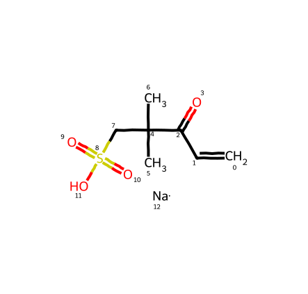 C=CC(=O)C(C)(C)CS(=O)(=O)O.[Na]